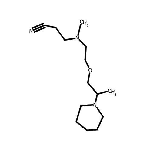 CC(COCCN(C)CCC#N)N1CCCCC1